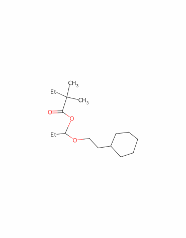 CCC(OCCC1CCCCC1)OC(=O)C(C)(C)CC